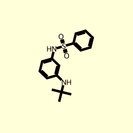 CC(C)(C)Nc1cccc(NS(=O)(=O)c2ccccc2)c1